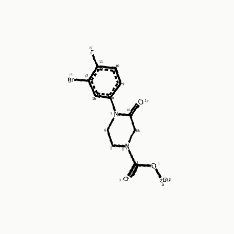 CC(C)(C)OC(=O)N1CCN(c2ccc(F)c(Br)c2)C(=O)C1